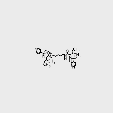 CCC(C)[C@H](NC(=O)c1ccncc1)C(=O)NCCCCCNC(=O)[C@@H](NC(=O)c1ccncc1)C(C)CC